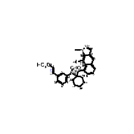 Cn1ncc2cc3cccc(CC4(N(C=O)c5cccc(/C=C/C(=O)O)c5)CCCCC4)c3c(F)c21